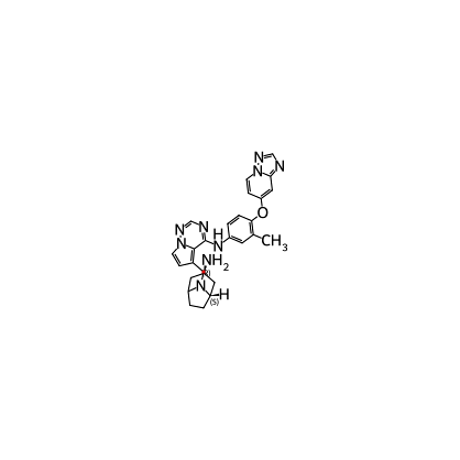 Cc1cc(Nc2ncnn3ccc(CN4C5CC[C@H]4C[C@H](N)C5)c23)ccc1Oc1ccn2ncnc2c1